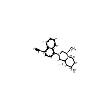 C[C@@H]1CN(c2ccc(C#N)c3ncccc23)C[C@@H]2CC(O)CCN21